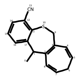 CC1C2=C(C=CCC=C2)CSc2c(C#N)cccc21